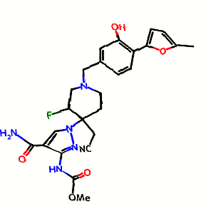 COC(=O)Nc1nn(C2(CC#N)CCN(Cc3ccc(-c4ccc(C)o4)c(O)c3)CC2F)cc1C(N)=O